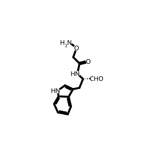 NOCC(=O)N[C@H](C=O)Cc1c[nH]c2ccccc12